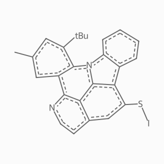 Cc1cc(C(C)(C)C)c2c(c1)c1nccc3cc(SI)c4c5ccccc5n2c4c31